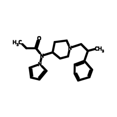 CCC(=O)N(C1CCN(CC(C)c2ccccc2)CC1)n1cccc1